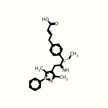 CC[C@H](C(=N)Cc1c(C)nn(-c2ccccc2)c1C)c1ccc(C/C=C/C(=O)O)cc1